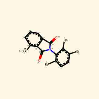 CCCc1c(CC)ccc(CC)c1N1C(=O)c2cccc(C(=O)O)c2C1=O